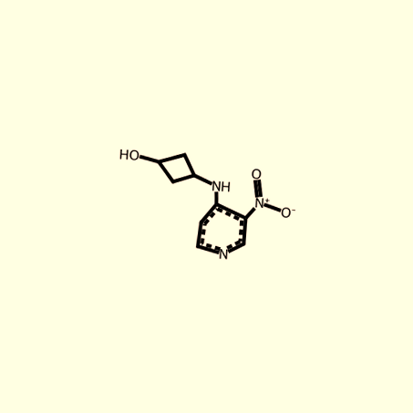 O=[N+]([O-])c1cnccc1NC1CC(O)C1